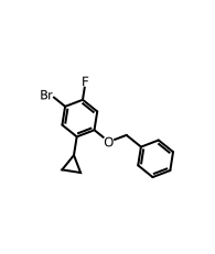 Fc1cc(OCc2ccccc2)c(C2CC2)cc1Br